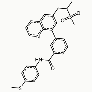 CSc1ccc(NC(=O)c2cccc(-c3cc(CC(C)S(C)(=O)=O)cc4cccnc34)c2)cc1